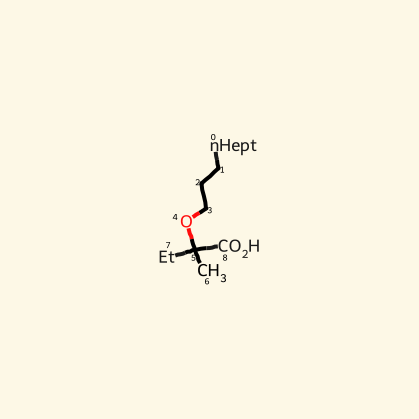 CCCCCCCCCCOC(C)(CC)C(=O)O